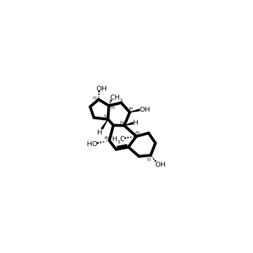 C[C@]12C[C@@H](O)[C@H]3C([C@@H](O)C=C4C[C@@H](O)CC[C@@]43C)[C@@H]1CC[C@@H]2O